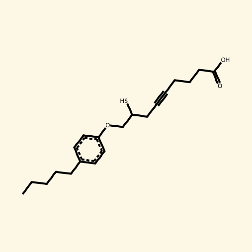 CCCCCc1ccc(OCC(S)CC#CCCCC(=O)O)cc1